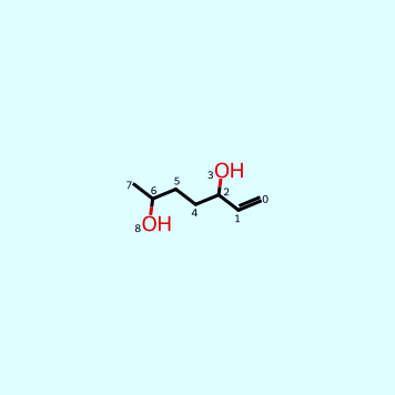 C=CC(O)CCC(C)O